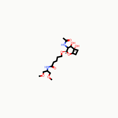 COCC(COC)NC(=O)CCCCO[C@@H]1OC2CC[C@@]2(O)C(O)C1NC(C)=O